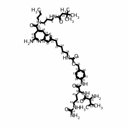 CCCN(CCCNC(=O)CC(C)(C)C)C(=O)C1=Cc2sc(CCCCCNC(=O)OCc3ccc(NC(=O)[C@H](CCCNC(N)=O)NC(=O)C(N)C(C)C)cc3)cc2N=C(N)C1